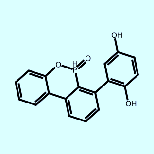 O=[PH]1Oc2ccccc2-c2cccc(-c3cc(O)ccc3O)c21